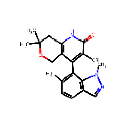 Cc1ccc2cnn(C)c2c1-c1c2c([nH]c(=O)c1C#N)CC(C)(C)OC2